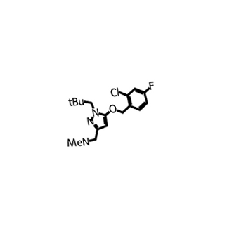 CNCc1cc(OCc2ccc(F)cc2Cl)n(CC(C)(C)C)n1